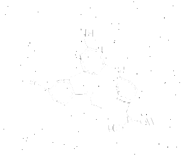 CCOc1ccc(Br)cc1-c1cc(Nc2ccc(B(O)O)cc2)nc(N)n1